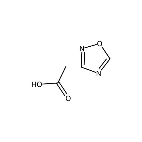 CC(=O)O.c1ncon1